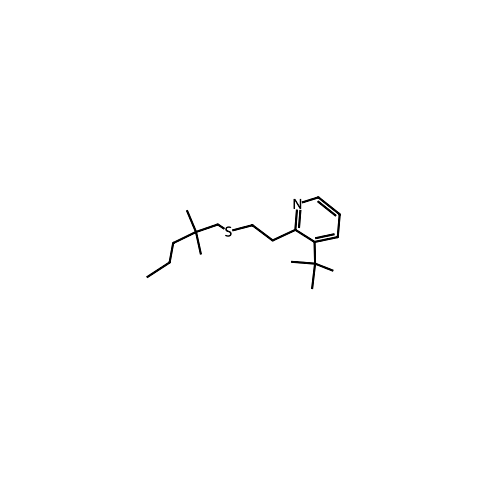 CCCC(C)(C)CSCCc1ncccc1C(C)(C)C